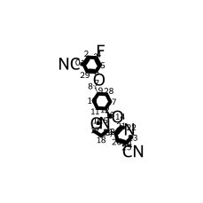 N#Cc1cc(F)cc(OC[C@H]2CC[C@H](C(=O)N3OCC[C@H]3c3cncc(C#N)c3)CC2)c1